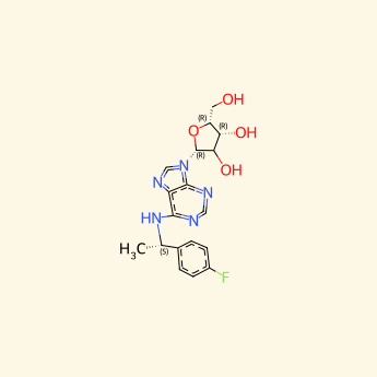 C[C@H](Nc1ncnc2c1ncn2[C@@H]1O[C@H](CO)[C@H](O)C1O)c1ccc(F)cc1